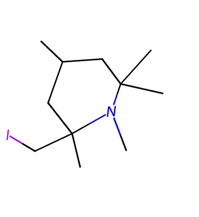 CC1CC(C)(C)N(C)C(C)(CI)C1